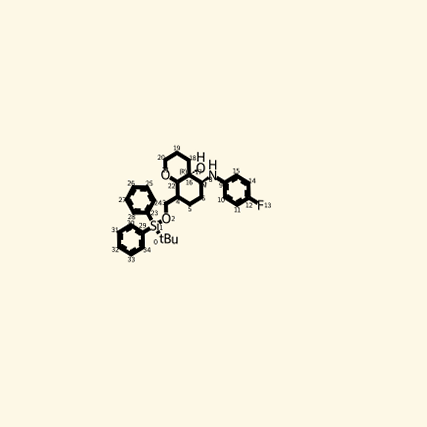 CC(C)(C)[Si](OCC1CC[C@H](Nc2ccc(F)cc2)[C@]2(O)CCCOC12)(c1ccccc1)c1ccccc1